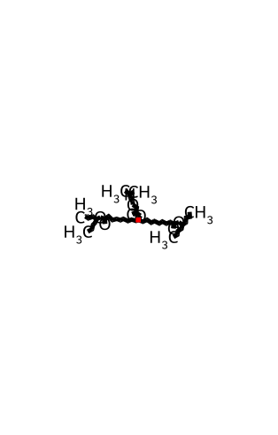 CCCCC(CCCC)OC(=O)CCCCCCCCC(CCCCCCCCC(=O)OC(CCCC)CCCC)OC(=O)COCCN(C)C